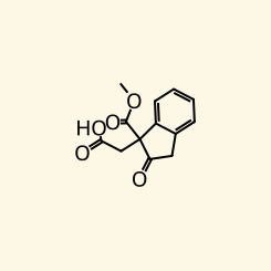 COC(=O)C1(CC(=O)O)C(=O)Cc2ccccc21